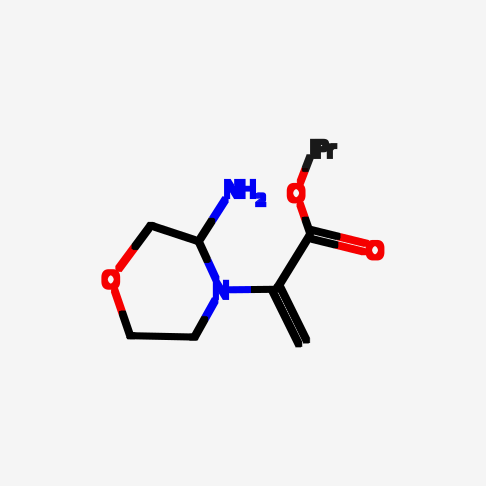 C=C(C(=O)OC(C)C)N1CCOCC1N